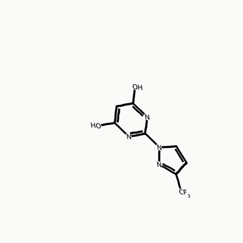 Oc1cc(O)nc(-n2ccc(C(F)(F)F)n2)n1